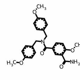 COc1ccc(CN(Cc2ccc(OC)cc2)C(=O)c2ccc(OC)c(C(N)=O)c2)cc1